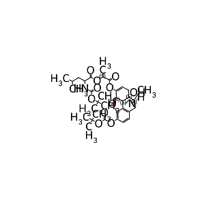 CC(C)CC(NC(=O)OC(C)(C)C)C(=O)O[C@@H](C)C(=O)OC1=CC[C@@]2(O)[C@H]3Cc4ccc(OC(=O)OC(C)(C)C)c5c4[C@@]2(CCN3C)[C@H]1O5